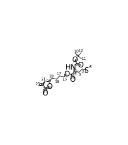 CSCC[C@H](NC(=O)OC(C)(C)C)C(=O)OCCCCC1C=C(C)C(=O)O1